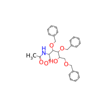 CC(=O)NC(C=O)C(OCc1ccccc1)C(OCc1ccccc1)C(O)COCc1ccccc1